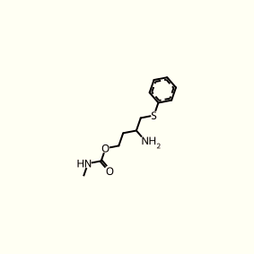 CNC(=O)OCCC(N)CSc1ccccc1